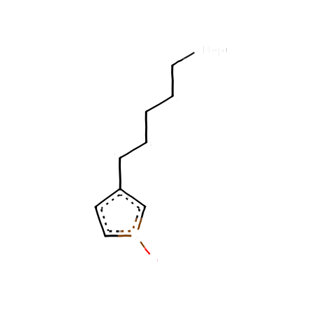 CCCCCCCCCCCCc1cc[s+]([O-])c1